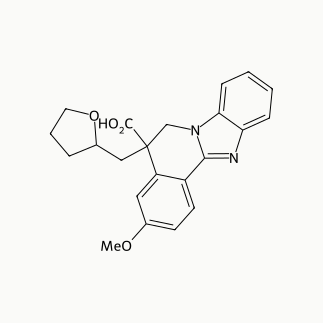 COc1ccc2c(c1)C(CC1CCCO1)(C(=O)O)Cn1c-2nc2ccccc21